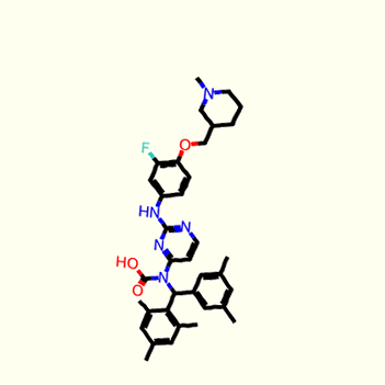 Cc1cc(C)cc(C(c2c(C)cc(C)cc2C)N(C(=O)O)c2ccnc(Nc3ccc(OCC4CCCN(C)C4)c(F)c3)n2)c1